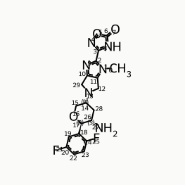 Cn1c(-c2noc(=O)[nH]2)nc2c1CN([C@H]1CO[C@H](c3cc(F)ccc3F)[C@@H](N)C1)C2